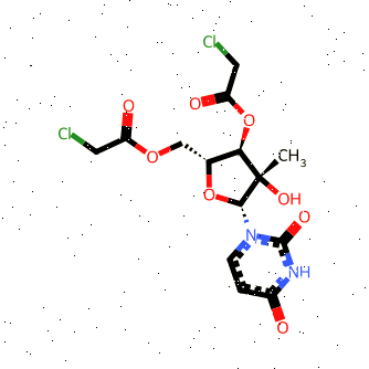 C[C@]1(O)[C@H](OC(=O)CCl)[C@@H](COC(=O)CCl)O[C@H]1n1ccc(=O)[nH]c1=O